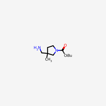 CC(C)COC(=O)N1CCC(C)(CN)C1